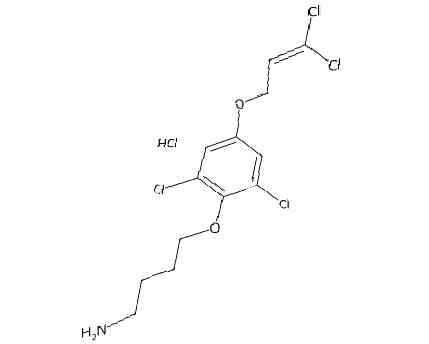 Cl.NCCCCOc1c(Cl)cc(OCC=C(Cl)Cl)cc1Cl